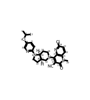 CC(I)Oc1ccc(N2CC[C@@H]3CN(c4c(C#N)c(=O)n(C)c5ccc(Cl)nc45)CC[C@@H]32)nc1